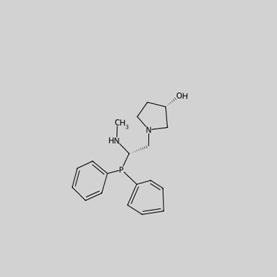 CN[C@H](CN1CC[C@H](O)C1)P(c1ccccc1)c1ccccc1